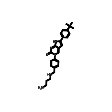 CC(C)(C)c1ccc(-c2cc3cn(-c4ccc(CNCCCN)cc4)c(=O)nc3[nH]2)cc1